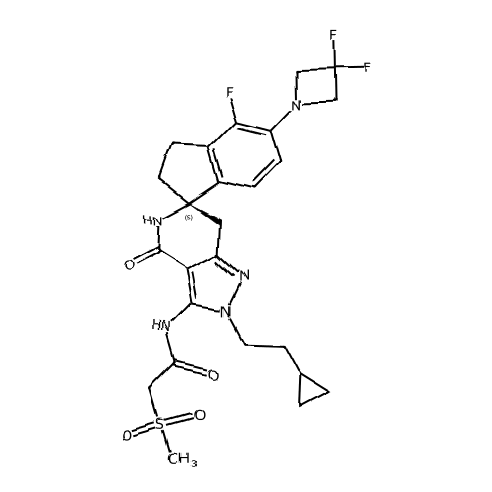 CS(=O)(=O)CC(=O)Nc1c2c(nn1CCC1CC1)C[C@]1(CCc3c1ccc(N1CC(F)(F)C1)c3F)NC2=O